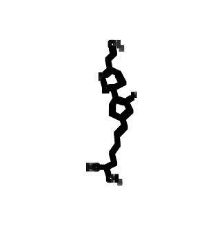 C=CCc1ccc(-c2ccc(/C=C/CCCC(C)O)cc2F)nn1